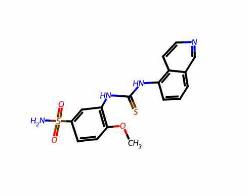 COc1ccc(S(N)(=O)=O)cc1NC(=S)Nc1cccc2cnccc12